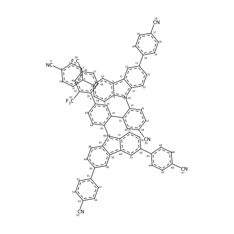 N#Cc1ccc(-c2ccc3c(c2)c2cc(-c4ccc(C#N)cc4)ccc2n3-c2ccc(C#N)cc2-c2cc(-c3ccc(C(F)(F)F)cc3C(F)(F)F)ccc2-n2c3ccc(-c4ccc(C#N)cc4)cc3c3cc(-c4ccc(C#N)cc4)ccc32)cc1